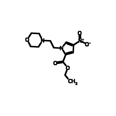 CCOC(=O)c1cc([N+](=O)[O-])cn1CCN1CCOCC1